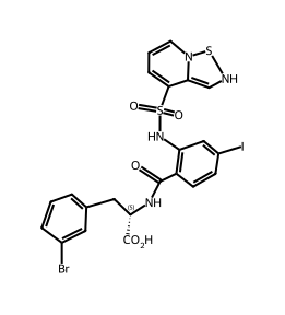 O=C(N[C@@H](Cc1cccc(Br)c1)C(=O)O)c1ccc(I)cc1NS(=O)(=O)C1=CC=CN2SNC=C12